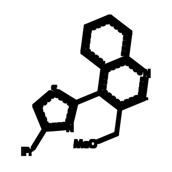 COCc1[c]nc2ccccc2c1-c1nc(C(C)C)cs1